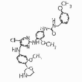 COc1cccc(CNC(=O)Nc2ccc(Nc3ncc(Cl)c(Nc4ccc(C5CNCCO5)c(OC)c4)n3)c(OC)c2)c1